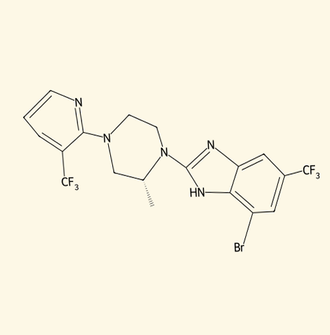 C[C@@H]1CN(c2ncccc2C(F)(F)F)CCN1c1nc2cc(C(F)(F)F)cc(Br)c2[nH]1